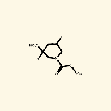 CCC1(C(=O)O)CC(F)CN(C(=O)OC(C)(C)C)C1